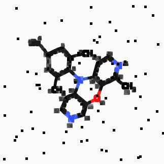 Cc1cc(C(C)(C)C)cc(C)c1N1c2ccncc2Oc2c1ccnc2C